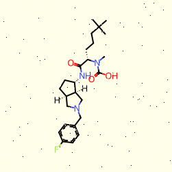 CN(C(=O)O)[C@@H](CCCC(C)(C)C)C(=O)N[C@H]1CC[C@@H]2CN(Cc3ccc(F)cc3)C[C@@H]21